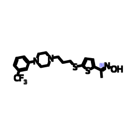 C/C(=N\O)c1ccc(SCCCN2CCN(c3cccc(C(F)(F)F)c3)CC2)s1